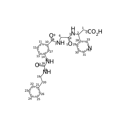 O=C(O)CC(NC(=O)CNC(=O)c1cccc(NC(=O)NCCc2ccccc2)c1)c1cccnc1